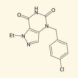 CCn1ncc2c1c(=O)[nH]c(=O)n2Cc1ccc(Cl)cc1